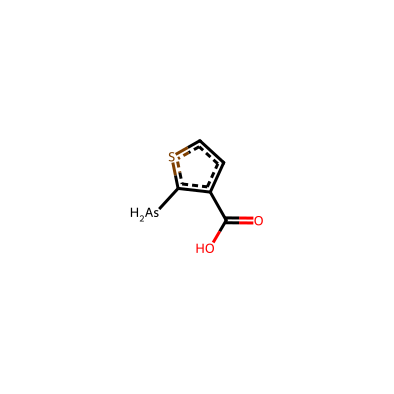 O=C(O)c1ccsc1[AsH2]